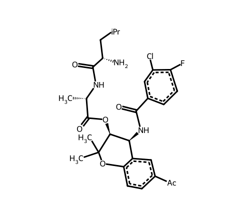 CC(=O)c1ccc2c(c1)[C@H](NC(=O)c1ccc(F)c(Cl)c1)[C@H](OC(=O)[C@H](C)NC(=O)[C@@H](N)CC(C)C)C(C)(C)O2